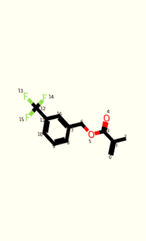 C=C(C)C(=O)OCc1cccc(C(F)(F)F)c1